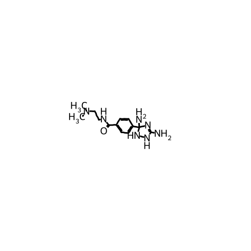 CN(C)CCNC(=O)c1ccc(C2(N)N=C(N)NN2)cc1